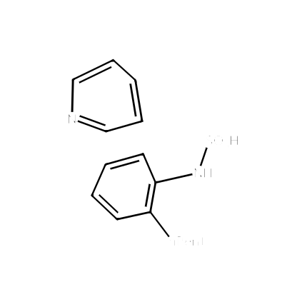 CCCCCc1ccc[c]c1NS(=O)(=O)O.c1ccncc1